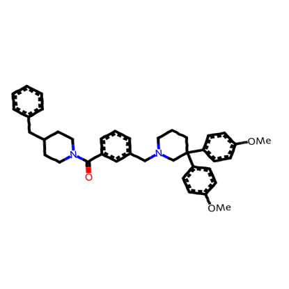 COc1ccc(C2(c3ccc(OC)cc3)CCCN(Cc3cccc(C(=O)N4CCC(Cc5ccccc5)CC4)c3)C2)cc1